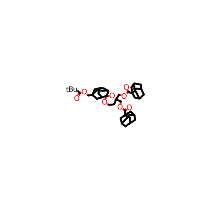 CC(C)(C)C(=O)OCC12CC3CC(C1)C1(OCCC(COC(=O)C45CC6CC(CC(C6)C4)C5)(COC(=O)C45CC6CC(CC(C6)C4)C5)O1)C(C3)C2